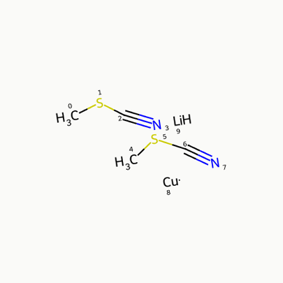 CSC#N.CSC#N.[Cu].[LiH]